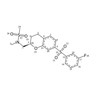 CN(C[C@H]1CCc2ccc(S(=O)(=O)c3cccc(F)c3)cc2O1)S(C)(=O)=O